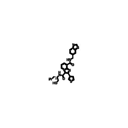 CC(C)C[C@@H](CO)NC(=O)c1c(-c2ccsc2)nc2c(C(=O)NCc3ccc4ncsc4c3)cccn12